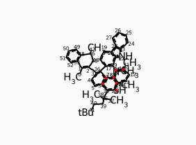 CC1=C(c2cccc(-c3cc(C)ccc3S)c2-c2ccc3c([nH]c4ccccc43)c2N(C)c2ccc(C(C)(C)CCC(C)(C)C)cc2C)CC(C)c2ccccc21